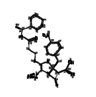 CC[C@H](O)[C@@H]1C(=O)N2C(C(=O)O)=C(SCCC(=O)N[C@@H](C)c3ccccc3)S[C@]12Cc1ccc([N+](=O)[O-])cc1